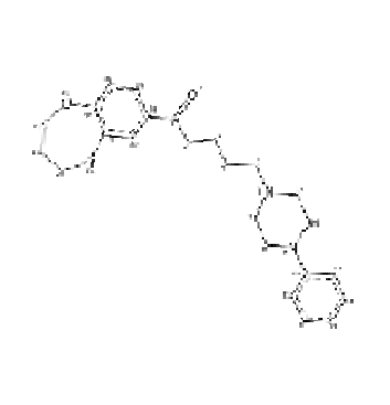 O=C(CCCCN1CCN(c2ccccc2)CC1)c1ccc2c(c1)OCC=CO2